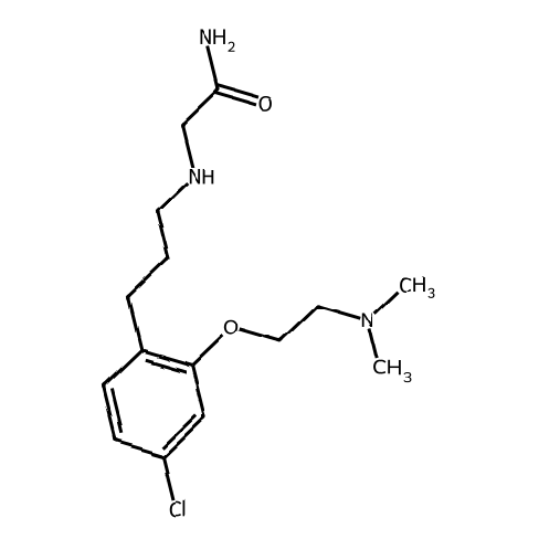 CN(C)CCOc1cc(Cl)ccc1CCCNCC(N)=O